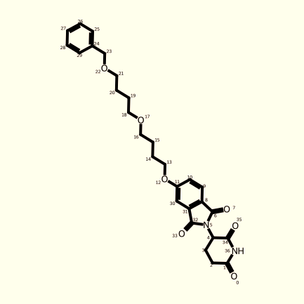 O=C1CCC(N2C(=O)c3ccc(OCCCCOCCCCOCc4ccccc4)cc3C2=O)C(=O)N1